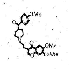 COc1ccc(C(=O)C2CCN(CCCc3coc4cc(OC)c(OC)cc4c3=O)CC2)cc1